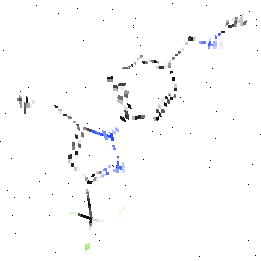 CCc1cc(C(F)(F)F)nn1-c1ccc(CNC)cc1